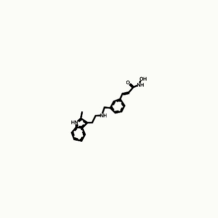 Cc1[nH]c2ccccc2c1CCNCc1cccc(C=CC(=O)NO)c1